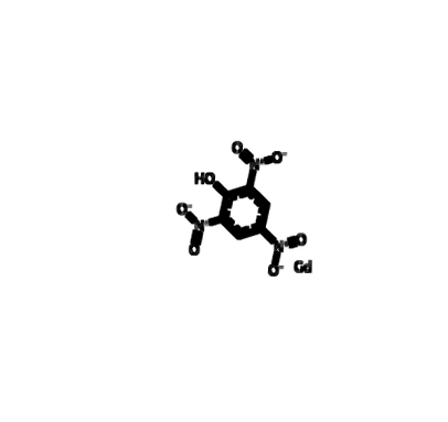 O=[N+]([O-])c1cc([N+](=O)[O-])c(O)c([N+](=O)[O-])c1.[Gd]